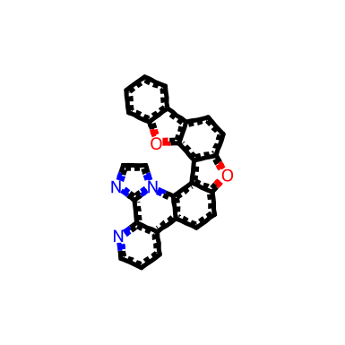 c1ccc2c(c1)oc1c2ccc2oc3ccc4c5cccnc5c5nccn5c4c3c21